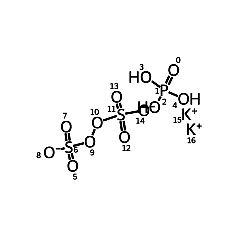 O=P(O)(O)O.O=S(=O)([O-])OOS(=O)(=O)[O-].[K+].[K+]